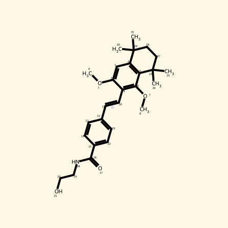 COc1cc2c(c(OC)c1/C=C/c1ccc(C(=O)NCCO)cc1)C(C)(C)CCC2(C)C